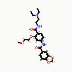 CCN(CC)CCNC(=O)c1ccc(NC(=O)c2ccc3c(c2)OCO3)cc1OCCOC